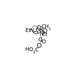 CCN1CCc2ccc(c(C)c2)C(c2ccccc2)(N(CC)CCOC(=O)c2ccc(C(=O)O)cc2)c2ccc1cc2C